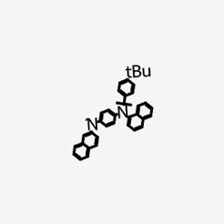 CN(c1ccc(N(c2cccc3ccccc23)C(C)(C)c2ccc(C(C)(C)C)cc2)cc1)c1ccc2ccccc2c1